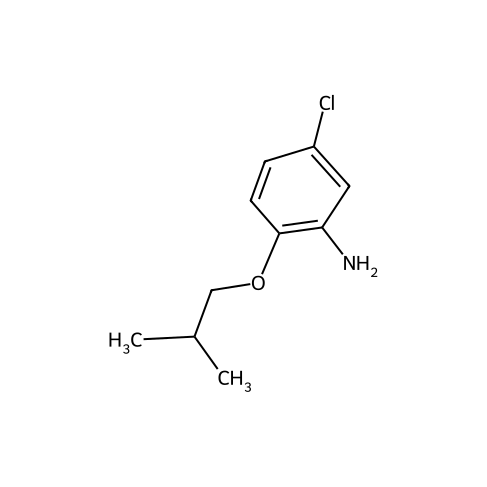 CC(C)COc1ccc(Cl)cc1N